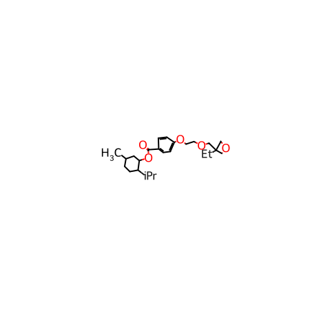 CCC1(COCCOc2ccc(C(=O)OC3CC(C)CCC3C(C)C)cc2)COC1